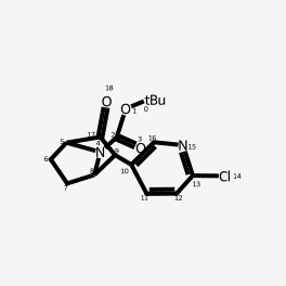 CC(C)(C)OC(=O)N1C2CCC1C(c1ccc(Cl)nc1)C2=O